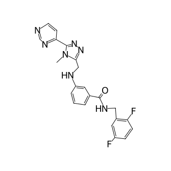 Cn1c(CNc2cccc(C(=O)NCc3cc(F)ccc3F)c2)nnc1-c1ccncn1